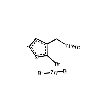 CCCCCCc1c[c]sc1Br.[Br][Zn][Br]